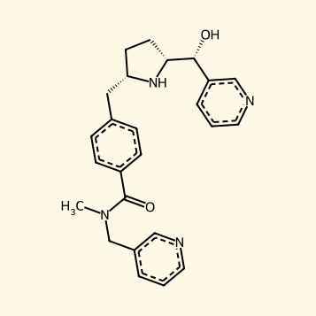 CN(Cc1cccnc1)C(=O)c1ccc(C[C@@H]2CC[C@H]([C@H](O)c3cccnc3)N2)cc1